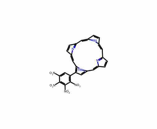 O=[N+]([O-])c1cc(-c2cc3cc4nc(cc5ccc(cc6nc(cc2[nH]3)C=C6)[nH]5)C=C4)c([N+](=O)[O-])c([N+](=O)[O-])c1[N+](=O)[O-]